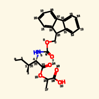 CC[C@H](C)[C@H](NC(=O)OCC1c2ccccc2-c2ccccc21)C(=O)OC(C)C(=O)O